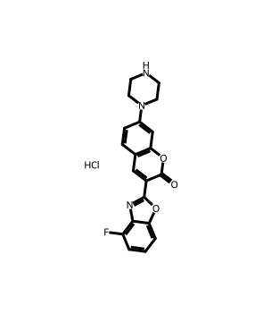 Cl.O=c1oc2cc(N3CCNCC3)ccc2cc1-c1nc2c(F)cccc2o1